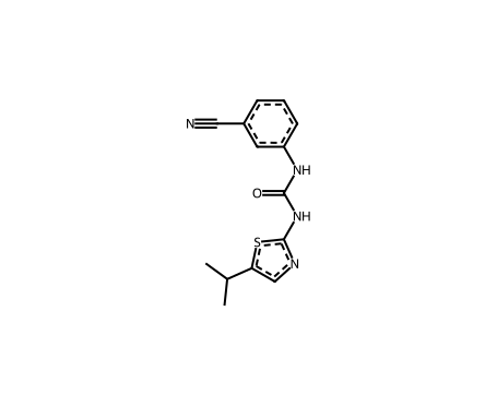 CC(C)c1cnc(NC(=O)Nc2cccc(C#N)c2)s1